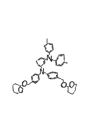 Cc1ccc(N(c2ccc(C)cc2)c2cccc(N(c3ccc(COC4CCCCO4)cc3)c3ccc(COC4CCCCO4)cc3)c2)cc1